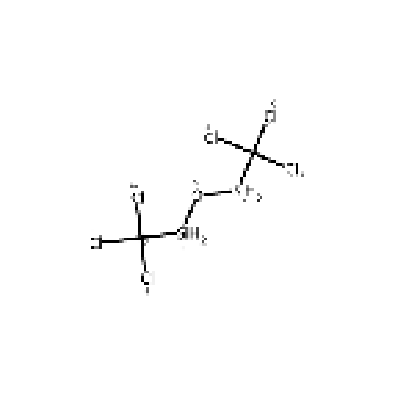 ClC(Cl)(Cl)[SiH2]O[SiH2]C(Cl)(Cl)Cl